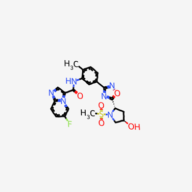 Cc1ccc(-c2noc([C@@H]3C[C@@H](O)CN3S(C)(=O)=O)n2)cc1NC(=O)c1cnc2ccc(F)cn12